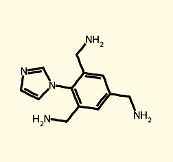 NCc1cc(CN)c(-n2ccnc2)c(CN)c1